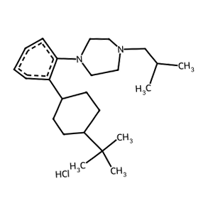 CC(C)CN1CCN(c2ccccc2C2CCC(C(C)(C)C)CC2)CC1.Cl